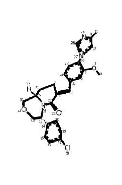 COc1cc(/C=C2\CC[C@H]3COC[C@@H](c4ccc(Cl)cc4)N3C2=O)ccc1-n1cnc(C)c1